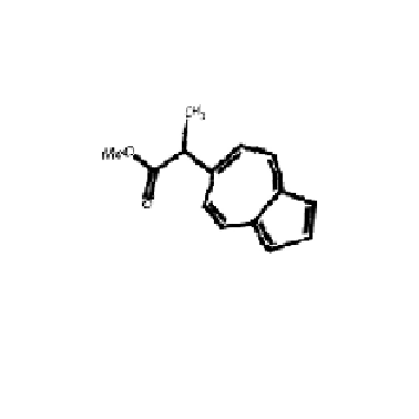 COC(=O)C(C)c1ccc2cccc-2cc1